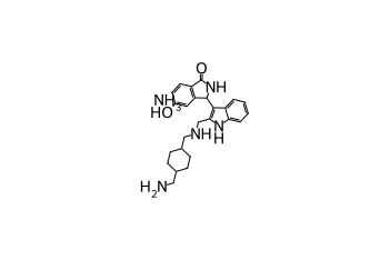 N.NCC1CCC(CNCc2[nH]c3ccccc3c2C2NC(=O)c3ccc(O)cc32)CC1